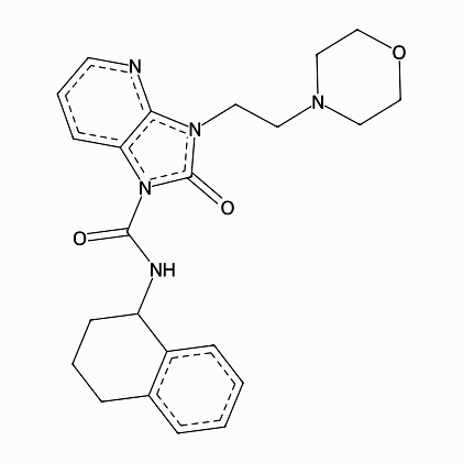 O=C(NC1CCCc2ccccc21)n1c(=O)n(CCN2CCOCC2)c2ncccc21